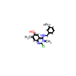 C=N/C(NCc1cccc(CCC)c1)=C1/C=C(O)C(C)=C/C1=N/CCl